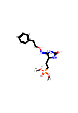 CCOP(=O)(CCC1NC(=O)NC1=NOCCc1ccccc1)OCC